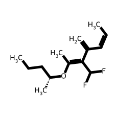 C=C(/C=C\C)/C(=C(\C)O[C@H](C)CCC)C(F)F